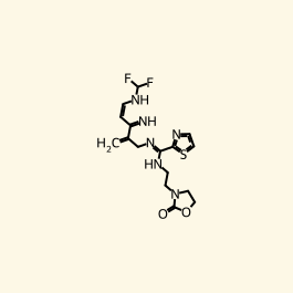 C=C(C/N=C(\NCCN1CCOC1=O)c1nccs1)C(=N)/C=C\NC(F)F